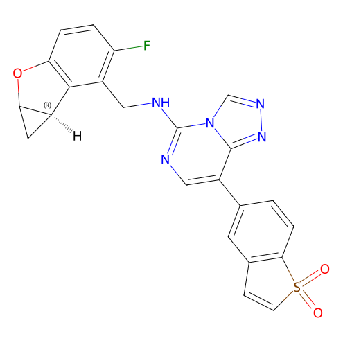 O=S1(=O)C=Cc2cc(-c3cnc(NCc4c(F)ccc5c4[C@H]4CC4O5)n4cnnc34)ccc21